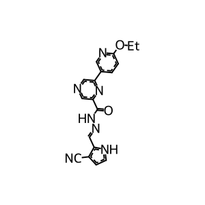 CCOc1ccc(-c2cncc(C(=O)N/N=C/c3[nH]ccc3C#N)n2)cn1